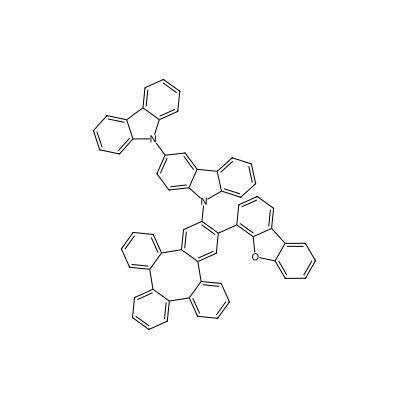 c1ccc2c(c1)-c1ccccc1-c1cc(-c3cccc4c3oc3ccccc34)c(-n3c4ccccc4c4cc(-n5c6ccccc6c6ccccc65)ccc43)cc1-c1ccccc1-2